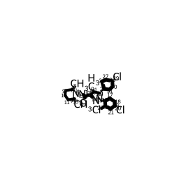 C[C@@H]1C(C(=O)NN2[C@H](C)CCC[C@H]2C)=NN(c2ccc(Cl)cc2Cl)[C@@H]1c1ccc(Cl)cc1